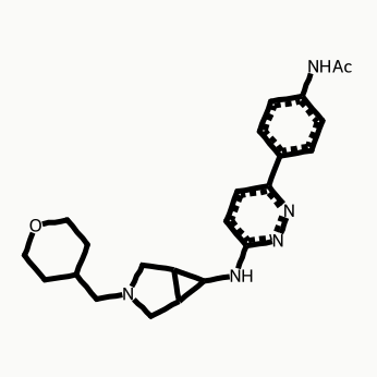 CC(=O)Nc1ccc(-c2ccc(NC3C4CN(CC5CCOCC5)CC43)nn2)cc1